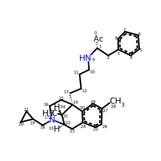 CC(=O)[C@H](Cc1ccccc1)NCCCC[C@]12CCN(CC3CC3)[C@H](Cc3ccc(C)cc31)[C@@H]2C